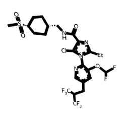 CCc1nc(C(=O)NC[C@H]2CC[C@@H](S(C)(=O)=O)CC2)c(Cl)n1-c1ncc(CC(C(F)(F)F)C(F)(F)F)cc1OC(F)F